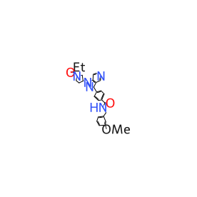 CCC(=O)N1CC[C@@H](n2nc(-c3ccc(C(=O)NCc4cccc(OC)c4)cc3)c3cnccc32)C1